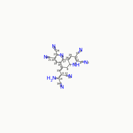 N#CC1=C(C#N)NC2C/C(=C\C(C#N)=C(/N)C#N)c3cc(C#N)c(C#N)nc3C2=C1